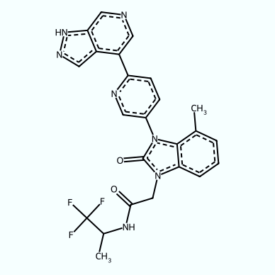 Cc1cccc2c1n(-c1ccc(-c3cncc4[nH]ncc34)nc1)c(=O)n2CC(=O)NC(C)C(F)(F)F